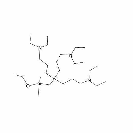 CCO[Si](C)(C)CC(CCCN(CC)CC)(CCCN(CC)CC)CCCN(CC)CC